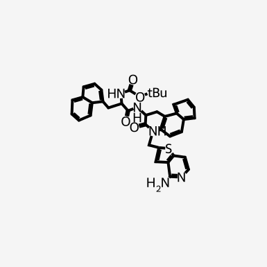 CC(C)(C)OC(=O)NC(Cc1cccc2ccccc12)C(=O)NC(Cc1cccc2ccccc12)C(=O)NCc1cc2c(N)nccc2s1